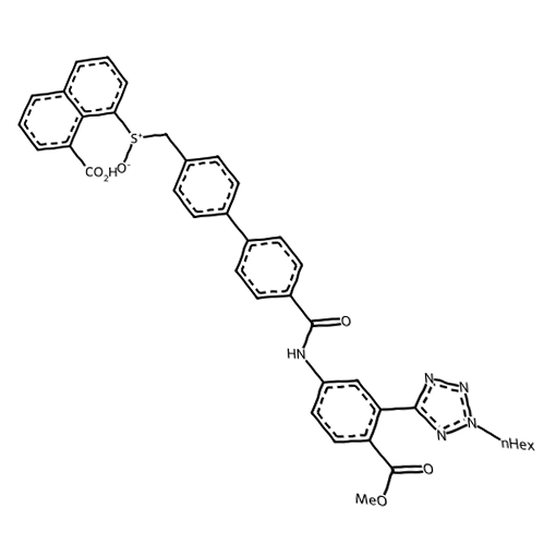 CCCCCCn1nnc(-c2cc(NC(=O)c3ccc(-c4ccc(C[S+]([O-])c5cccc6cccc(C(=O)O)c56)cc4)cc3)ccc2C(=O)OC)n1